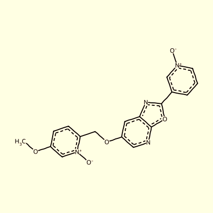 COc1ccc(COc2cnc3oc(-c4ccc[n+]([O-])c4)nc3c2)[n+]([O-])c1